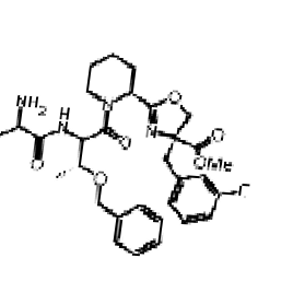 COC(=O)[C@@]1(Cc2cccc(Cl)c2)COC([C@@H]2CCCCN2C(=O)C(NC(=O)C(C)N)[C@@H](C)OCc2ccccc2)=N1